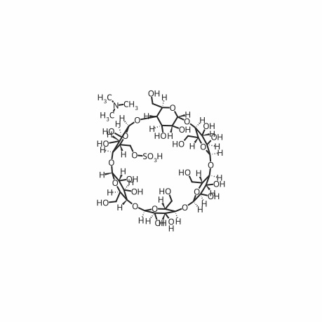 CN(C)C.O=S(=O)(O)OC[C@H]1O[C@@H]2O[C@H]3[C@H](O)[C@@H](O)[C@@H](O[C@H]4[C@H](O)[C@@H](O)[C@@H](O[C@H]5[C@H](O)[C@@H](O)[C@@H](O[C@H]6[C@H](O)[C@@H](O)[C@@H](O[C@H]7[C@H](O)[C@@H](O)[C@@H](O[C@H]1[C@H](O)[C@H]2O)O[C@@H]7CO)O[C@@H]6CO)O[C@@H]5CO)O[C@@H]4CO)O[C@@H]3CO